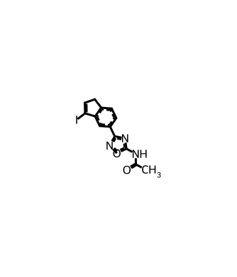 CC(=O)Nc1nc(-c2ccc3c(c2)C(I)=CC3)no1